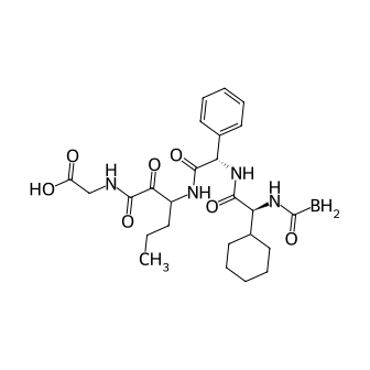 BC(=O)N[C@H](C(=O)N[C@H](C(=O)NC(CCC)C(=O)C(=O)NCC(=O)O)c1ccccc1)C1CCCCC1